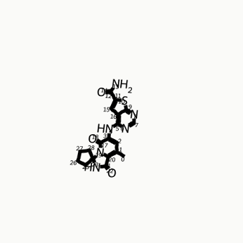 Cc1cc(Nc2ncnc3sc(C(N)=O)cc23)c(=O)n2c1C(=O)NC21CCCC1